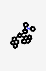 c1ccc(-n2c3ccccc3c3cc(-c4ccc(-c5ccc6ccc7cccc8ccc5c6c78)cc4-c4cc5cccc6ccc7cccc4c7c65)ccc32)cc1